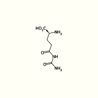 NC(=O)NC(=O)CC[C@H](N)C(=O)O